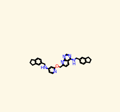 c1cc(NCc2ccc3c(c2)CCC3)cc(OCc2ccc3c(NCc4ccc5c(c4)CCC5)ncnc3n2)n1